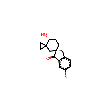 O=C1c2cc(Br)ccc2C[C@]12CC[C@@H](O)C1(CC1)C2